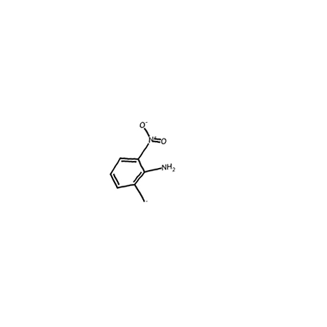 [CH2]c1cccc([N+](=O)[O-])c1N